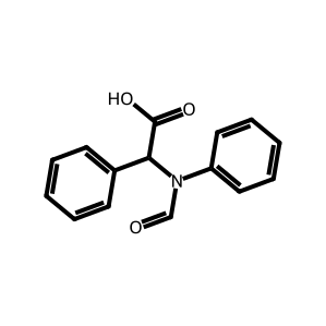 O=CN(c1ccccc1)C(C(=O)O)c1ccccc1